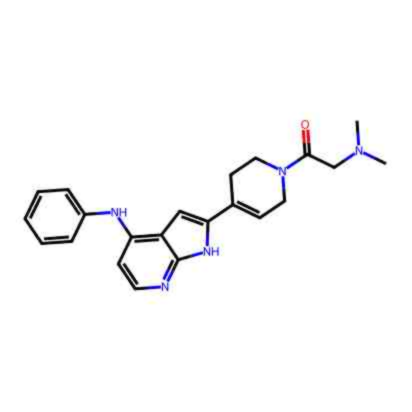 CN(C)CC(=O)N1CC=C(c2cc3c(Nc4ccccc4)ccnc3[nH]2)CC1